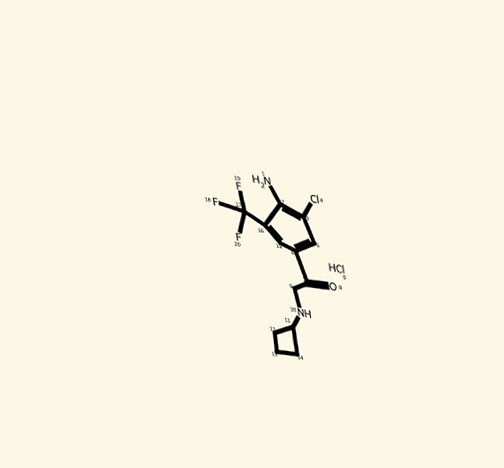 Cl.Nc1c(Cl)cc(C(=O)CNC2CCC2)cc1C(F)(F)F